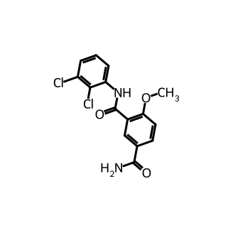 COc1ccc(C(N)=O)cc1C(=O)Nc1cccc(Cl)c1Cl